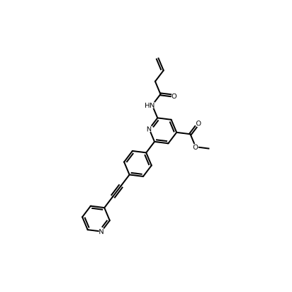 C=CCC(=O)Nc1cc(C(=O)OC)cc(-c2ccc(C#Cc3cccnc3)cc2)n1